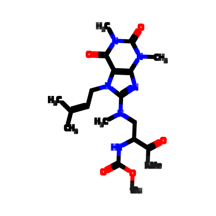 CNC(=O)C(CN(C)c1nc2c(c(=O)n(C)c(=O)n2C)n1CC=C(C)C)NC(=O)OC(C)(C)C